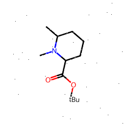 CC1CCCC(C(=O)OC(C)(C)C)N1C